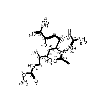 BOC(=O)NC[C@@H](O)[C@@H](O)[C@@H]1OC(C(=O)O)=C[C@H](NC(=N)N)[C@H]1NC(C)=O